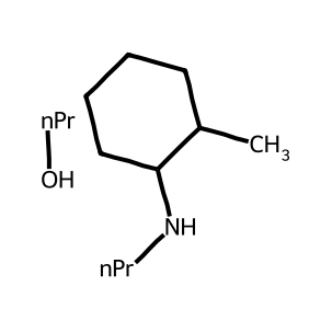 CCCNC1CCCCC1C.CCCO